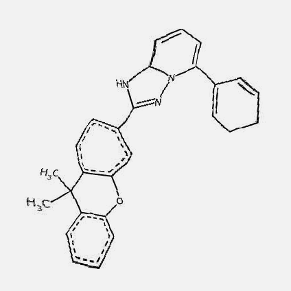 CC1(C)c2ccccc2Oc2cc(C3=NN4C(C5=CCCC=C5)=CC=CC4N3)ccc21